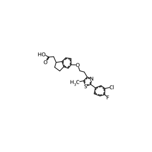 Cc1sc(-c2ccc(F)c(Cl)c2)nc1CCOc1ccc2c(c1)CCC2CC(=O)O